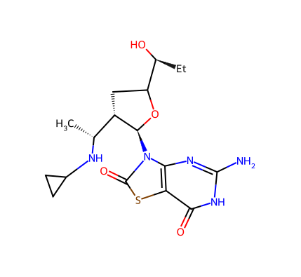 CC[C@H](O)C1C[C@@H]([C@@H](C)NC2CC2)[C@H](n2c(=O)sc3c(=O)[nH]c(N)nc32)O1